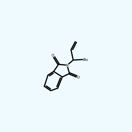 C=CC(C(C)CC)N1C(=O)c2ccccc2C1=O